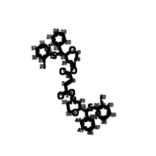 O=C(/C=C/C(=O)ON1CCO[C@H](C(Sc2ncccc2I)c2ccccc2)C1)ON1CCO[C@H](C(Sc2ncccc2I)c2ccccc2)C1